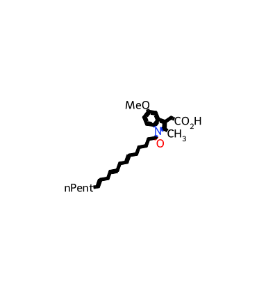 CCCCC/C=C/C/C=C/C/C=C/CCCCC(=O)n1c(C)c(CC(=O)O)c2cc(OC)ccc21